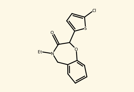 CCN1Cc2ccccc2OC(c2ccc(Cl)s2)C1=O